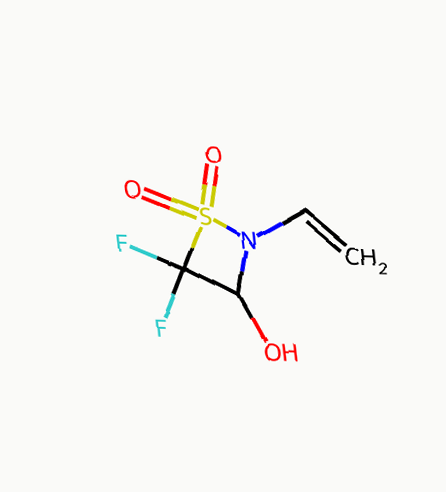 C=CN1C(O)C(F)(F)S1(=O)=O